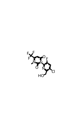 Cn1c(C(F)(F)F)cc(=O)n(-c2nc(CO)c(Cl)cc2F)c1=O